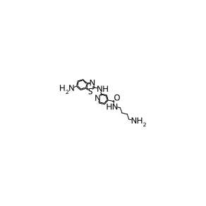 NCCCCNC(=O)c1ccnc(Nc2nc3ccc(N)cc3s2)c1